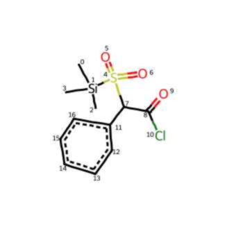 C[Si](C)(C)S(=O)(=O)C(C(=O)Cl)c1ccccc1